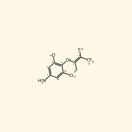 Nc1cc(Cl)c(OC(F)=C(F)C(F)(F)F)c(Cl)c1